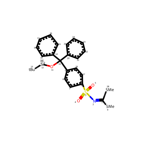 CSC(=NS(=O)(=O)c1ccc(C(O[SiH2]C(C)(C)C)(c2ccccc2)c2ccccc2)cc1)SC